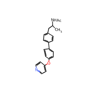 CC(=O)NC(C)Cc1ccc(-c2ccc(Oc3ccncc3)cc2)cc1